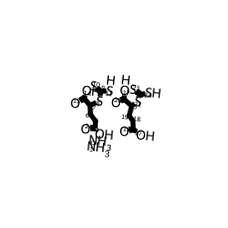 N.N.O=C(O)CCC(SC(=S)S)C(=O)O.O=C(O)CCC(SC(=S)S)C(=O)O